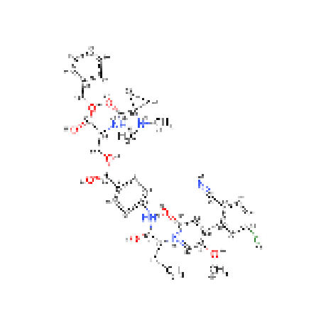 CCC(C(=O)Nc1ccc(C(=O)OCC(NC(=O)C2(N(C)C)CC2)C(=O)OCc2ccccc2)cc1)n1cc(OC)c(-c2cc(Cl)ccc2C#N)cc1=O